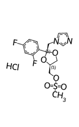 CS(=O)(=O)OC[C@@H]1CO[C@@](Cn2ccnc2)(c2ccc(F)cc2F)O1.Cl